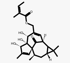 C/C=C(/C)C(=O)OCC1=C[C@@H]2C(=O)[C@]3(C=C(C)[C@H](O)[C@@]3(O)[C@@H]1O)[C@H](C)C[C@@H]1C2C1(C)C